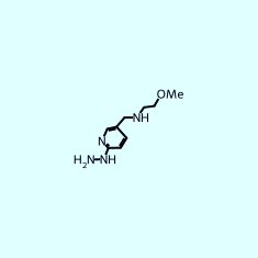 COCCNCc1ccc(NN)nc1